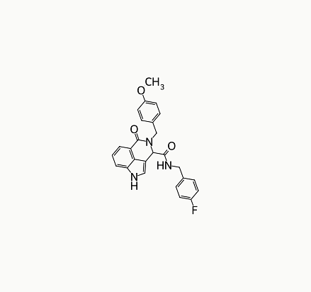 COc1ccc(CN2C(=O)c3cccc4[nH]cc(c34)C2C(=O)NCc2ccc(F)cc2)cc1